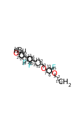 C=CCCOc1ccc(OCC2CCC(c3ccc(-c4ccc(OCCCC)cc4)c(F)c3F)CC2)cc1F